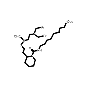 CCCCCCCCCCCCCCCCCCNC(=O)N1CCCCC1CCON(C=O)CCN(CC(C)C)CC(C)C